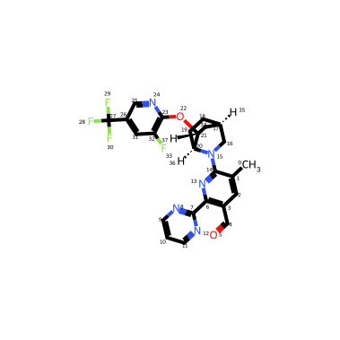 Cc1cc(C=O)c(-c2ncccn2)nc1N1C[C@@H]2CC[C@H]1[C@H](Oc1ncc(C(F)(F)F)cc1F)C2